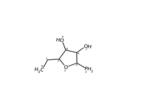 CCC1OC(P)C(O)C1O